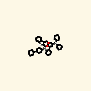 c1ccc(-c2ccc(N(c3ccccc3-c3cccc(N(c4ccccc4)c4ccccc4)c3)c3cccc4c3oc3ccccc34)cc2)cc1